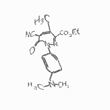 CCOC(=O)c1nn(-c2ccc(N(C)C)cc2)c(=O)c(C#N)c1C